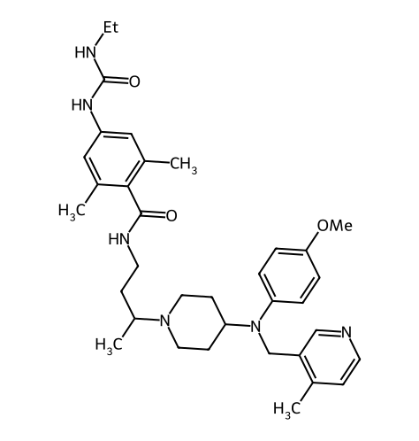 CCNC(=O)Nc1cc(C)c(C(=O)NCCC(C)N2CCC(N(Cc3cnccc3C)c3ccc(OC)cc3)CC2)c(C)c1